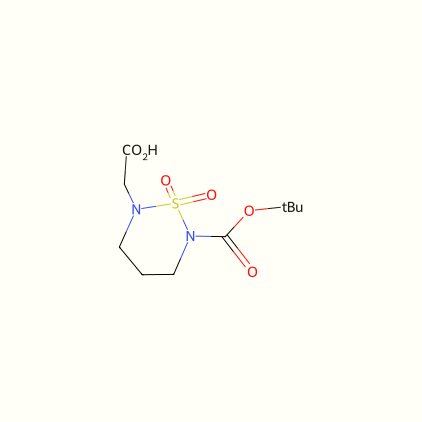 CC(C)(C)OC(=O)N1CCCN(CC(=O)O)S1(=O)=O